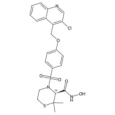 CC1(C)SCCN(S(=O)(=O)c2ccc(OCc3c(Cl)cnc4ccccc34)cc2)[C@H]1C(=O)NO